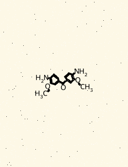 CCOc1cc(C(=O)c2ccc(N)c(OCC)c2)ccc1N